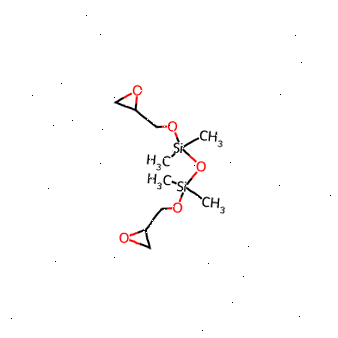 C[Si](C)(OCC1CO1)O[Si](C)(C)OCC1CO1